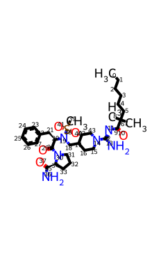 CCCCCCC(C)(C)C(=O)N=C(N)N1CCC(CN([C@H](Cc2ccccc2)C(=O)N2CCC[C@H]2C(N)=O)S(C)(=O)=O)CC1